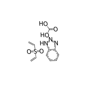 C=CS(=O)(=O)C=C.O=C(O)O.c1ccc2[nH]nnc2c1